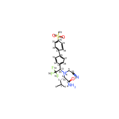 CC(C)C[C@@H](C(N)=O)N(CC#N)[C@H](c1ccc(-c2ccc(S(C)(=O)=O)cc2)cc1)C(F)(F)F